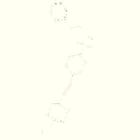 Cc1ccc(C#Cc2ccc(S(=O)(=O)N[C@H](Cc3ccccc3)C(=O)O)cc2)cc1